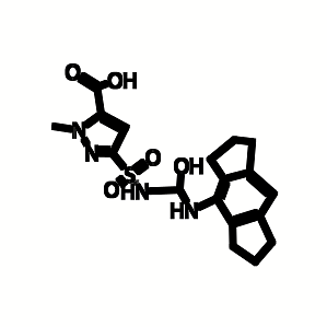 Cn1nc(S(=O)(=O)NC(O)Nc2c3c(cc4c2CCC4)CCC3)cc1C(=O)O